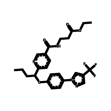 CCCC(Oc1ccc(-n2cc(C(F)(F)F)cn2)cc1)c1ccc(C(=O)NCCC(=O)OCC)cn1